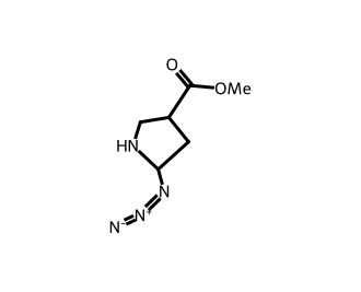 COC(=O)C1CNC(N=[N+]=[N-])C1